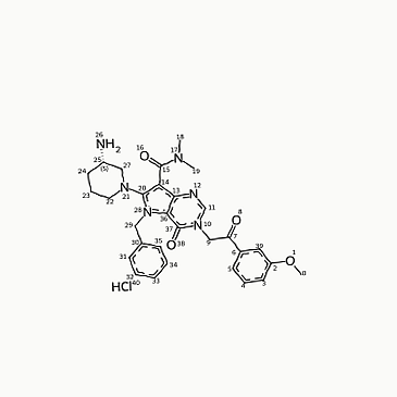 COc1cccc(C(=O)Cn2cnc3c(C(=O)N(C)C)c(N4CCC[C@H](N)C4)n(Cc4ccccc4)c3c2=O)c1.Cl